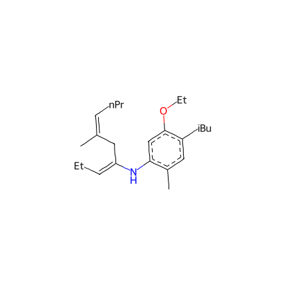 CC/C=C(\C/C(C)=C\CCC)Nc1cc(OCC)c(C(C)CC)cc1C